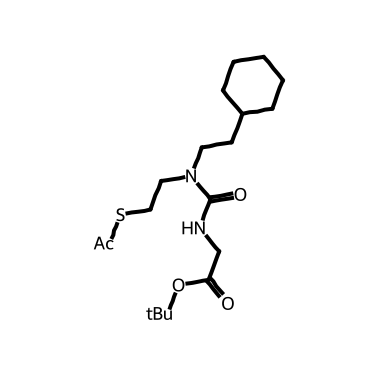 CC(=O)SCCN(CCC1CCCCC1)C(=O)NCC(=O)OC(C)(C)C